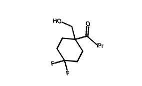 CC(C)C(=O)C1(CO)CCC(F)(F)CC1